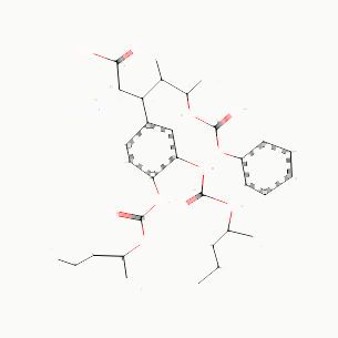 CCCC(C)OC(=O)Oc1ccc(C(C(C)C(C)OC(=O)Oc2ccccc2)[C@H](N)C(=O)O)cc1OC(=O)OC(C)CCC